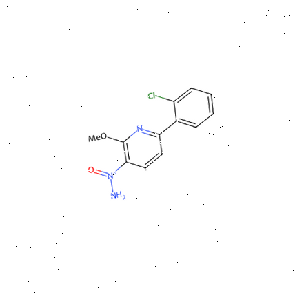 COc1nc(-c2ccccc2Cl)c[c]c1[N+](N)=O